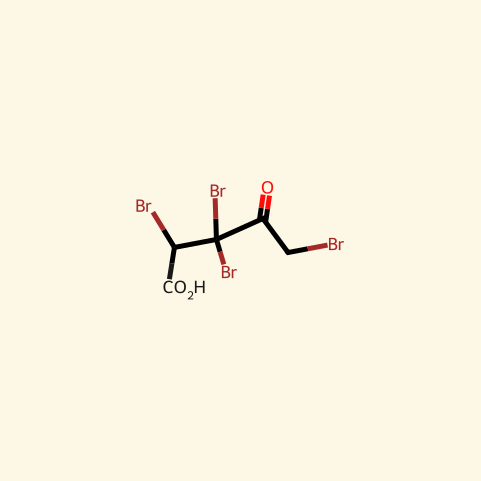 O=C(O)C(Br)C(Br)(Br)C(=O)CBr